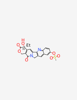 CC[C@@]1(O)C(=O)OCc2c1cc1n(c2=O)Cc2cc3cc(OS(C)(=O)=O)ccc3nc2-1